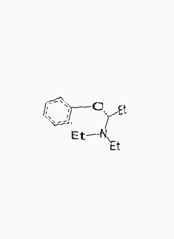 CCC(Oc1[c]cccc1)N(CC)CC